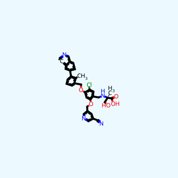 Cc1c(COc2cc(OCc3cncc(C#N)c3)c(CN[C@](C)(CO)C(=O)O)cc2Cl)cccc1-c1ccc2cnccc2c1